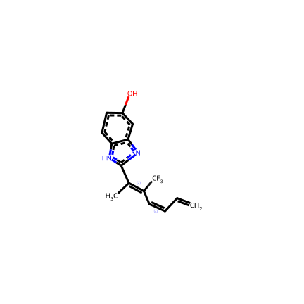 C=C/C=C\C(=C(/C)c1nc2cc(O)ccc2[nH]1)C(F)(F)F